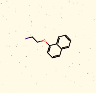 ICCOc1cccc2ccccc12